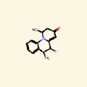 CC1C2=CC(=O)CC(C)N2c2ccccc2C1C